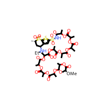 CCN[C@H]1C[C@H](C)S(=O)(=O)c2sc(S(=O)(=O)NC(=O)C(C)OC(=O)C(C)OC(=O)C(C)OC(=O)C(C)OC(=O)C(C)OC(=O)C(C)OC(=O)C(C)OC(=O)C(C)OC(=O)C(C)OC(=O)C(C)OC(=O)C(C)OC)cc21